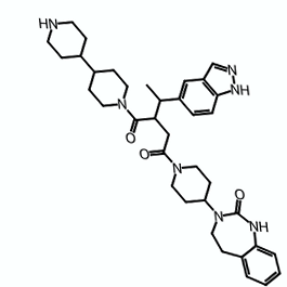 CC(c1ccc2[nH]ncc2c1)C(CC(=O)N1CCC(N2CCc3ccccc3NC2=O)CC1)C(=O)N1CCC(C2CCNCC2)CC1